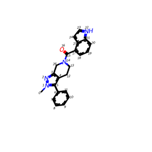 Cn1nc2c(c1-c1ccccc1)CCN(C(=O)c1cccc3[nH]ccc13)C2